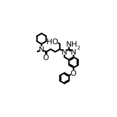 CN(C(=O)CCC(CO)N1Cc2cc(Oc3ccccc3)ccc2N=C1N)C1CCCCC1